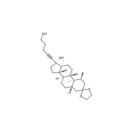 C[C@H]1CC2(C[C@@H]3CC[C@@H]4[C@H](CC[C@@]5(C)[C@H]4CC[C@@]5(O)C#CCCCO)[C@]31C)OCCO2